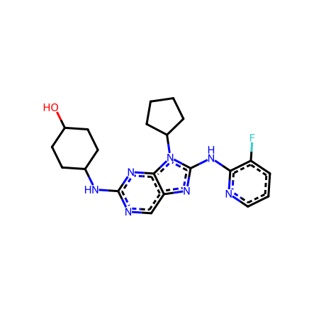 OC1CCC(Nc2ncc3nc(Nc4ncccc4F)n(C4CCCC4)c3n2)CC1